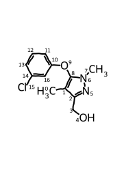 Cc1c(CO)nn(C)c1Oc1cccc(Cl)c1